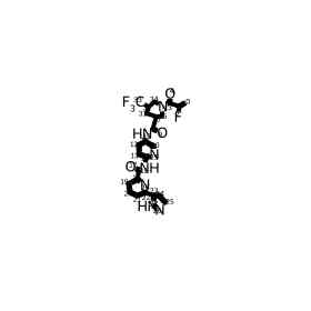 C=C(F)C(=O)N1CC(C(=O)Nc2ccc(NC(=O)c3cccc(-c4ccn[nH]4)n3)nc2)CC(C(F)(F)F)C1